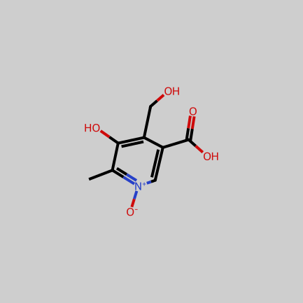 Cc1c(O)c(CO)c(C(=O)O)c[n+]1[O-]